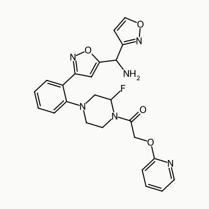 NC(c1ccon1)c1cc(-c2ccccc2N2CCN(C(=O)COc3ccccn3)C(F)C2)no1